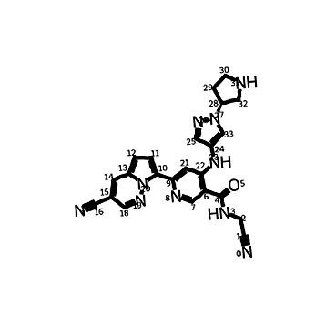 N#CCNC(=O)c1cnc(-c2ccc3cc(C#N)cnn23)cc1Nc1cnn([C@H]2CCNC2)c1